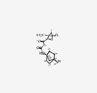 CCC12CC1(C)C(C(=O)OC(=O)NC13CCC(C(C)C)(CC1)C3)O2